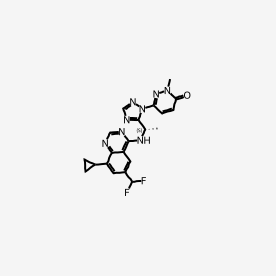 C[C@H](Nc1ncnc2c(C3CC3)cc(C(F)F)cc12)c1ncnn1-c1ccc(=O)n(C)n1